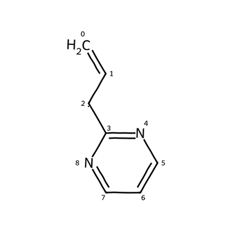 C=C[CH]c1ncccn1